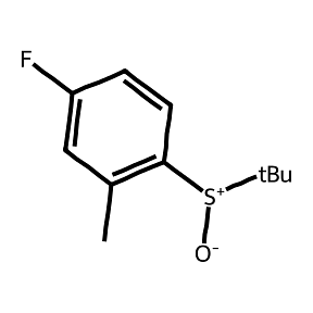 Cc1cc(F)ccc1[S+]([O-])C(C)(C)C